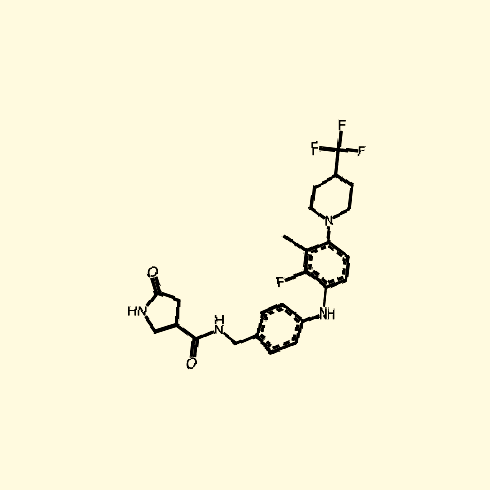 Cc1c(N2CCC(C(F)(F)F)CC2)ccc(Nc2ccc(CNC(=O)C3CNC(=O)C3)cc2)c1F